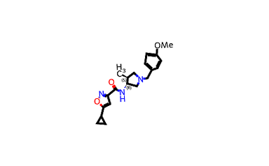 COc1ccc(CN2C[C@H](NC(=O)c3cc(C4CC4)on3)[C@@H](C)C2)cc1